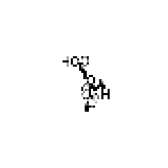 CCOC(=O)N[C@H](C(=O)OCCCC(=O)O)C(C)C